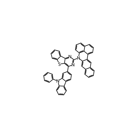 c1ccc(-n2c3ccccc3c3ccc(-c4nc(N5c6cc7ccccc7cc6-c6cccc7cccc5c67)nc5c4sc4ccccc45)cc32)cc1